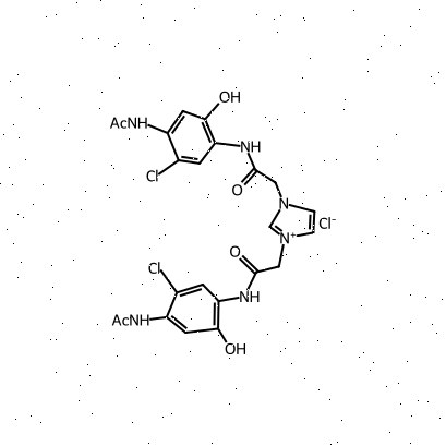 CC(=O)Nc1cc(O)c(NC(=O)Cn2cc[n+](CC(=O)Nc3cc(Cl)c(NC(C)=O)cc3O)c2)cc1Cl.[Cl-]